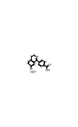 Cl.O=C(O)c1ccc(C2=NCCc3ccc(Cl)cc32)cc1